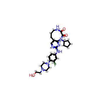 O=C1NCCCc2cnc(Nc3ccc(N4CCN(CCO)CC4)c(F)c3)nc2N(C2CCCC2)C1=O